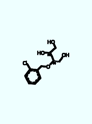 OC[C@H](OCc1ccccc1Cl)[C@@H](O)CO